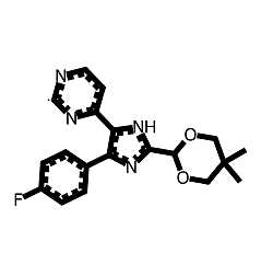 CC1(C)COC(c2nc(-c3ccc(F)cc3)c(-c3ccn[c]n3)[nH]2)OC1